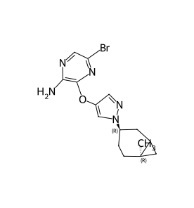 C[C@]12CC[C@@H](n3cc(Oc4nc(Br)cnc4N)cn3)CC1C2